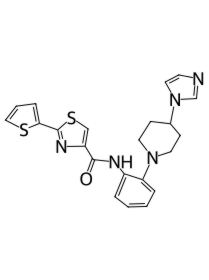 O=C(Nc1ccccc1N1CCC(n2ccnc2)CC1)c1csc(-c2cccs2)n1